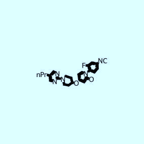 [C-]#[N+]c1ccc(-n2ccc(OC3CCN(c4ncc(CCC)cn4)CC3)cc2=O)c(F)c1